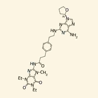 CCn1c(=O)c2c(nc(NC(=O)CCc3ccc(CCNc4nc(N)c5ncn([C@H]6CCCO6)c5n4)cc3)n2C)n(CC)c1=O